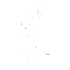 C[C@H]1C=C2C=C[C@H](C)[C@H](CC[C@@H](O)C[C@@H](O)CC(=O)NO)[C@H]2[CH]C1